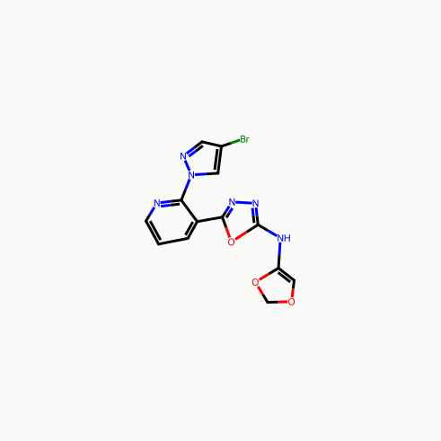 Brc1cnn(-c2ncccc2-c2nnc(NC3=COCO3)o2)c1